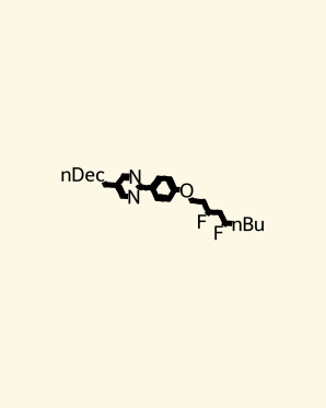 CCCCCCCCCCCc1cnc(-c2ccc(OCCC(F)CC(F)CCCC)cc2)nc1